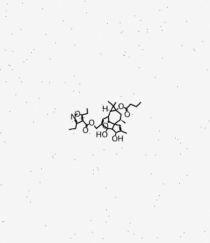 CCCC(=O)O[C@@]12C[C@@H](C)C34C=C(C)C(O)C3C(O)C(COC(=O)c3c(CC)noc3CC)=CC(C4=O)[C@H]1C2(C)C